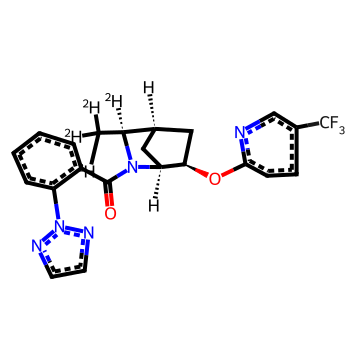 [2H]C([2H])([2H])[C@@]1([2H])[C@H]2C[C@@H](Oc3ccc(C(F)(F)F)cn3)[C@H](C2)N1C(=O)c1ccccc1-n1nccn1